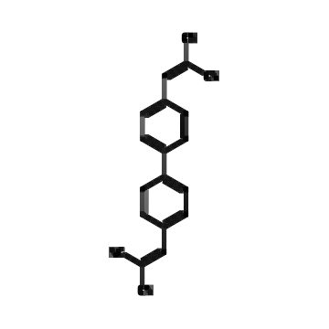 N#CC(C#N)=Cc1ccc(-c2ccc(C=C(C#N)C#N)cc2)cc1